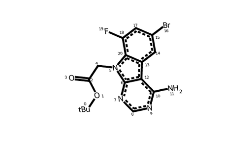 CC(C)(C)OC(=O)Cn1c2ncnc(N)c2c2cc(Br)cc(F)c21